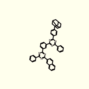 c1ccc(-c2nc(-c3ccc(C45CC6CC(CC(C6)C4)C5)cc3)nc(-c3cccc(-c4nc(-c5ccccc5)nc(-c5ccc6ccccc6c5)n4)c3)n2)cc1